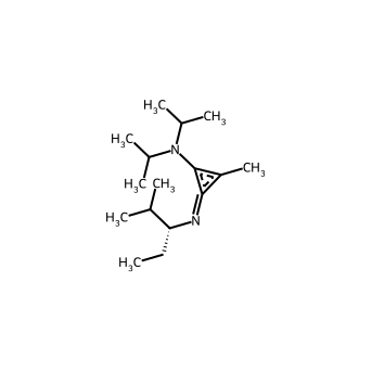 CC[C@@H](/N=c1/c(C)c1N(C(C)C)C(C)C)C(C)C